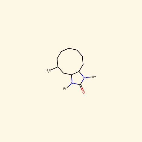 BC1CCCCCCC2C(C1)N(C(C)C)C(=O)N2C(C)C